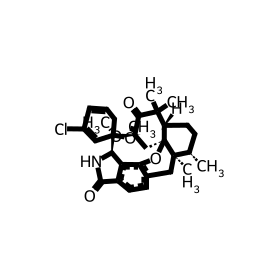 CO[C@@H]1C[C@@]23Oc4c(ccc5c4[C@H](C4(OC)C=C(Cl)C=CC4)NC5=O)C[C@]2(C)[C@@H](C)CC[C@H]3C(C)(C)C1=O